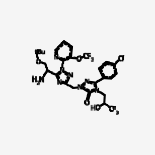 CC(C)(C)OCC(N)c1nc(Cn2nc(-c3ccc(Cl)cc3)n(CC(O)C(F)(F)F)c2=O)nn1-c1ncccc1OC(F)(F)F